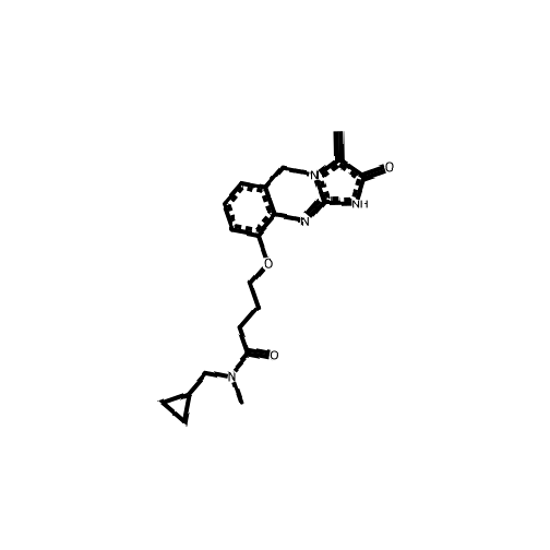 C=c1c(=O)[nH]c2n1Cc1cccc(OCCCC(=O)N(C)CC3CC3)c1N=2